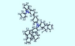 CC1(C)c2ccccc2-c2ccc(N(c3ccc(-c4ccc5c6ccccc6n(-c6ccccc6)c5c4)cc3)c3ccc(C4(c5ccccc5)c5ccccc5-c5ccccc54)cc3)cc21